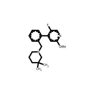 COc1cc(-c2ccccc2CN2CCCC(C)(C)C2)c(F)cn1